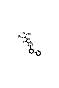 CC(C)C[C@H](NC(=O)C1CC(c2cccc(-c3ccccn3)c2)=NO1)B(O)O